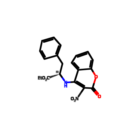 CCOC(=O)[C@H](Cc1ccccc1)Nc1c([N+](=O)[O-])c(=O)oc2ccccc12